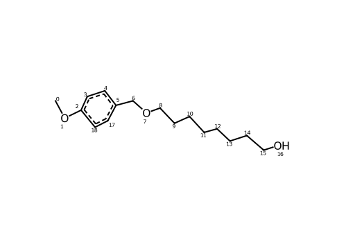 COc1ccc(COCCCCCCCCO)cc1